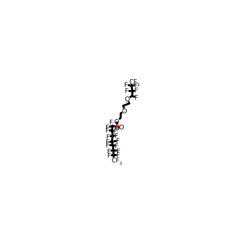 O=S(=O)(OCCOCCOC(F)C(F)(F)C(F)(F)C(F)(F)F)C(F)(F)C(F)(F)C(F)(F)C(F)(F)C(F)(F)C(F)(F)C(F)(F)C(F)(F)F